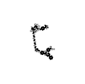 Cc1ncsc1-c1ccc(CNC(=O)[C@@H]2C[C@@H](O)CN2C(=O)[C@@H](NC(=O)COCCOCCOCCOCCn2cc(COc3ccc(-c4nc5cc(-c6ccccc6)ccn5c4Nc4ccc(C(=O)O)cc4)cc3)nn2)C(C)(C)C)cc1